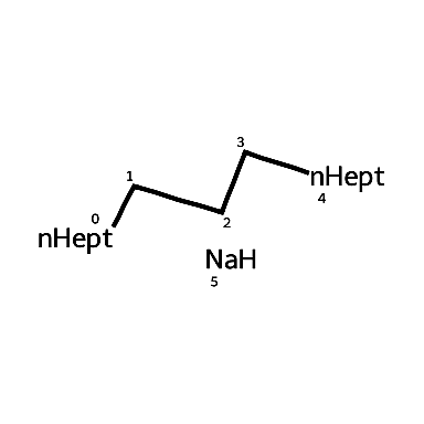 [CH2]CCCCCCCCCCCCCCCC.[NaH]